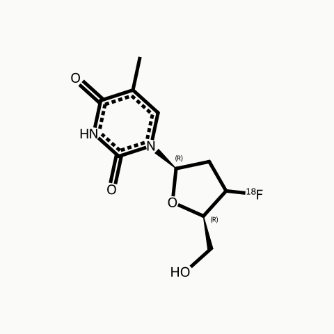 Cc1cn([C@H]2CC([18F])[C@@H](CO)O2)c(=O)[nH]c1=O